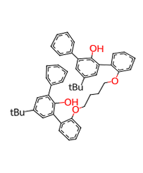 CC(C)(C)c1cc(-c2ccccc2)c(O)c(-c2ccccc2OCCCCOc2ccccc2-c2cc(C(C)(C)C)cc(-c3ccccc3)c2O)c1